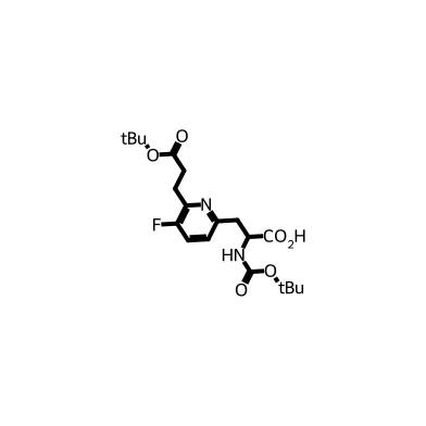 CC(C)(C)OC(=O)CCc1nc(CC(NC(=O)OC(C)(C)C)C(=O)O)ccc1F